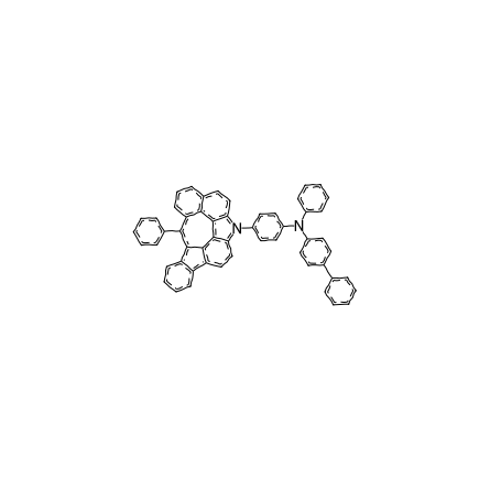 c1ccc(-c2ccc(N(c3ccccc3)c3ccc(-n4c5ccc6c7c5c5c8c(cccc8c(-c8ccccc8)c-7c7ccccc76)ccc54)cc3)cc2)cc1